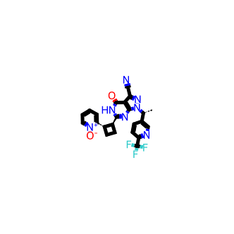 C[C@H](c1ccc(C(F)(F)F)nc1)n1nc(C#N)c2c(=O)[nH]c([C@H]3CC[C@@H]3c3cccc[n+]3[O-])nc21